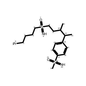 CC(C)CCCCS(=N)(=O)CCC(C)C(C)c1ccc(S(C)(=N)=O)cc1